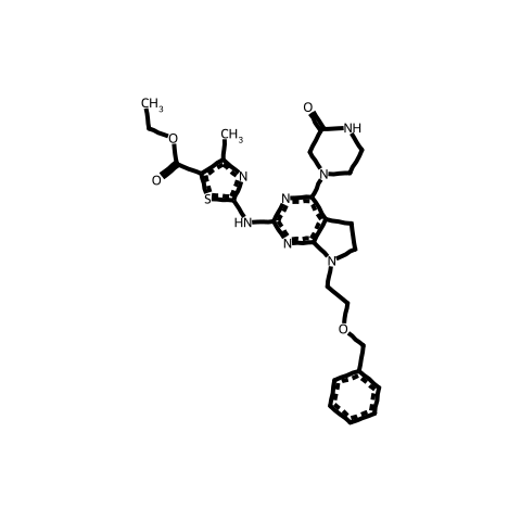 CCOC(=O)c1sc(Nc2nc3c(c(N4CCNC(=O)C4)n2)CCN3CCOCc2ccccc2)nc1C